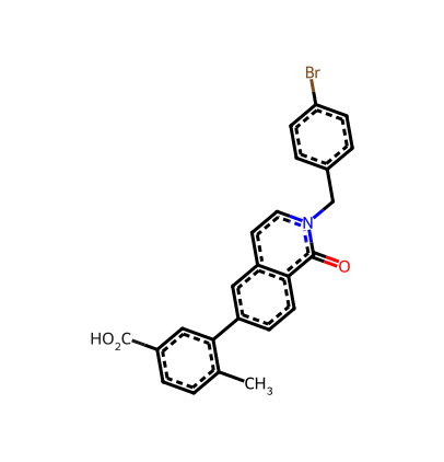 Cc1ccc(C(=O)O)cc1-c1ccc2c(=O)n(Cc3ccc(Br)cc3)ccc2c1